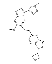 COc1cc2nnc(-c3cc(C)on3)n2nc1OCc1ccc2c(ccn2C2COC2)n1